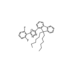 CCCCCCC1(CCCCCC)c2ccccc2-c2cccc(-c3nnc(-c4c(F)cccc4F)o3)c21